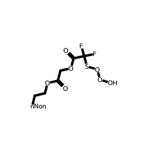 CCCCCCCCCCCOC(=O)COC(=O)C(F)(F)SOOO